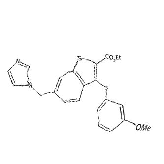 CCOC(=O)c1sc2cc(Cn3ccnc3)ccc2c1Sc1cccc(OC)c1